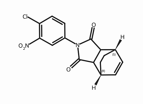 O=C1C2C(C(=O)N1c1ccc(Cl)c([N+](=O)[O-])c1)[C@H]1C=C[C@@H]2CC1